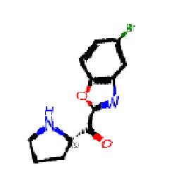 O=C(c1nc2cc(Br)ccc2o1)[C@@H]1CCCN1